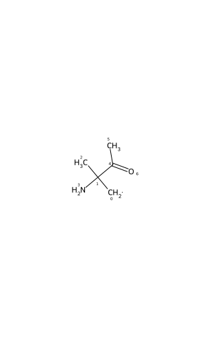 [CH2]C(C)(N)C(C)=O